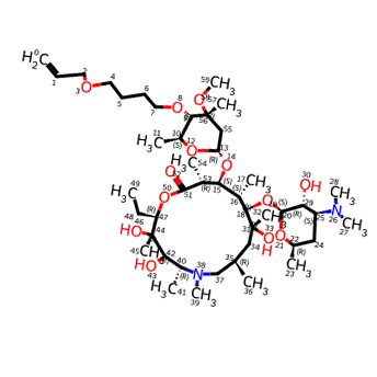 C=CCOCCCCO[C@H]1[C@H](C)O[C@@H](O[C@H]2[C@H](C)[C@@H](O[C@@H]3O[C@H](C)C[C@H](N(C)C)[C@H]3O)[C@](C)(O)C[C@@H](C)CN(C)[C@H](C)[C@@H](O)[C@](C)(O)[C@@H](CC)OC(=O)[C@@H]2C)C[C@@]1(C)OC